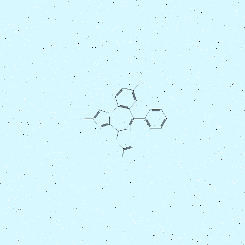 CC(=O)OC1N=C(c2ccccc2)c2cc(Br)ccc2-n2cc(C)nc21